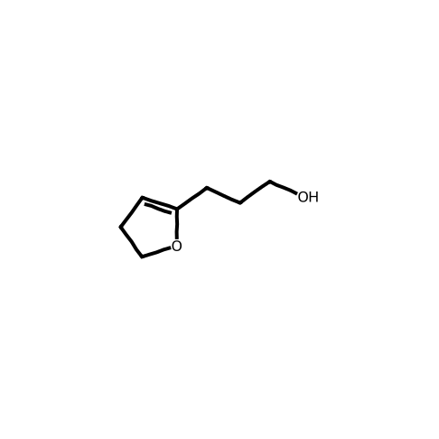 OCCCC1=CCCO1